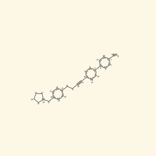 Bc1ccc(-c2ccc(C#CCCc3ccc(CN4CCCC4)cc3)nc2)cc1